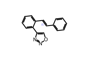 C(=C\c1ccccc1-c1conn1)/c1ccccc1